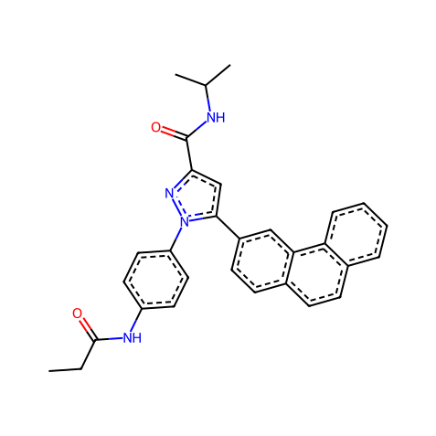 CCC(=O)Nc1ccc(-n2nc(C(=O)NC(C)C)cc2-c2ccc3ccc4ccccc4c3c2)cc1